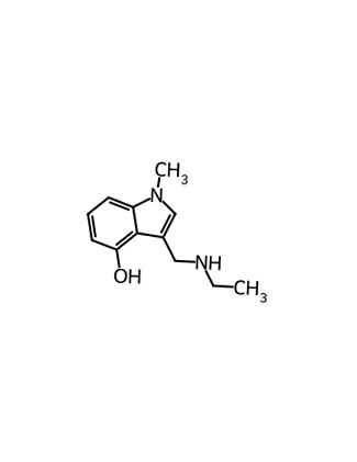 CCNCc1cn(C)c2cccc(O)c12